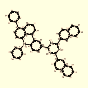 c1ccc(-c2ccc3c4c(cccc24)-c2cc(-c4nc(-c5ccc6ccccc6c5)nc(-c5ccc6ccccc6c5)n4)ccc2N3c2ccccc2)cc1